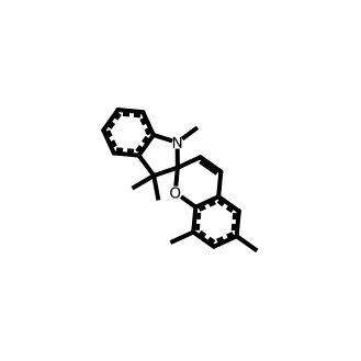 Cc1cc(C)c2c(c1)C=CC1(O2)N(C)c2ccccc2C1(C)C